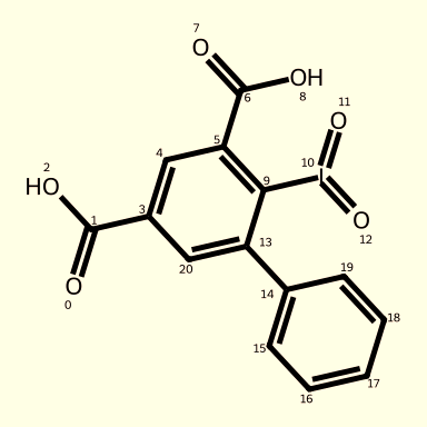 O=C(O)c1cc(C(=O)O)c(I(=O)=O)c(-c2ccccc2)c1